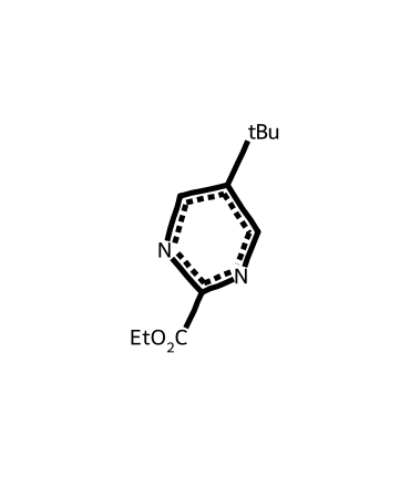 CCOC(=O)c1ncc(C(C)(C)C)cn1